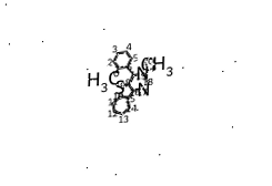 Cc1ccccc1-c1c2sc3ccccc3c2nc[n+]1C